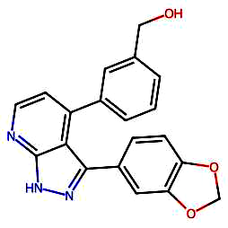 OCc1cccc(-c2ccnc3[nH]nc(-c4ccc5c(c4)OCO5)c23)c1